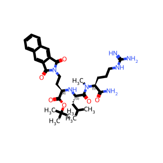 CC(C)C[C@H](N[C@H](CCN1C(=O)c2cc3ccccc3cc2C1=O)C(=O)OC(C)(C)C)C(=O)N(C)[C@@H](CCCNC(=N)N)C(N)=O